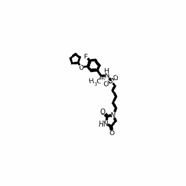 C[C@@H](NS(=O)(=O)CCCCCN1CC(=O)NC1=O)c1ccc(F)c(OC2CCCC2)c1